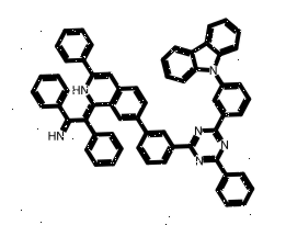 N=C(/C(=C1\NC(c2ccccc2)=Cc2ccc(-c3cccc(-c4nc(-c5ccccc5)nc(-c5cccc(-n6c7ccccc7c7ccccc76)c5)n4)c3)cc21)c1ccccc1)c1ccccc1